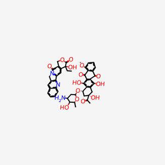 CCC1(O)C(=O)OCc2c1cc1n(c2=O)Cc2cc3ccccc3nc2-1.COc1cccc2c1C(=O)c1c(O)c3c(c(O)c1C2=O)C[C@@](O)(C(C)=O)C[C@@H]3OC1CC(N)C(O)C(C)O1